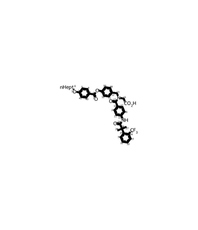 CCCCCCCOc1ccc(C(=O)Oc2ccc(CN(CC(=O)O)C(=O)c3ccc(NC(=O)C(C)(C)c4ccccc4C(F)(F)F)cc3)cc2)cc1